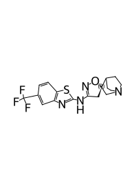 FC(F)(F)c1ccc2sc(NC3=NO[C@@]4(C3)CN3CCC4CC3)nc2c1